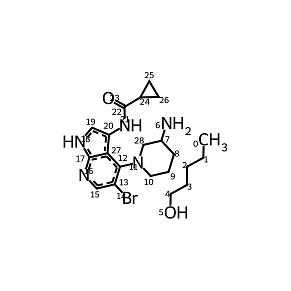 CCCCCO.NC1CCCN(c2c(Br)cnc3[nH]cc(NC(=O)C4CC4)c23)C1